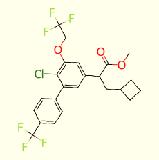 COC(=O)C(CC1CCC1)c1cc(OCC(F)(F)F)c(Cl)c(-c2ccc(C(F)(F)F)cc2)c1